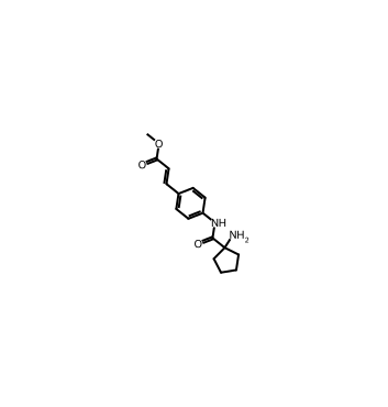 COC(=O)/C=C/c1ccc(NC(=O)C2(N)CCCC2)cc1